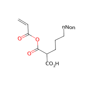 C=CC(=O)OC(=O)C(CCCCCCCCCCCC)C(=O)O